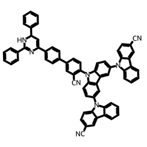 N#Cc1ccc2c(c1)c1ccccc1n2-c1ccc2c(c1)c1cc(-n3c4ccccc4c4cc(C#N)ccc43)ccc1n2-c1ccc(-c2ccc(C3=CC(c4ccccc4)NC(c4ccccc4)=N3)cc2)cc1C#N